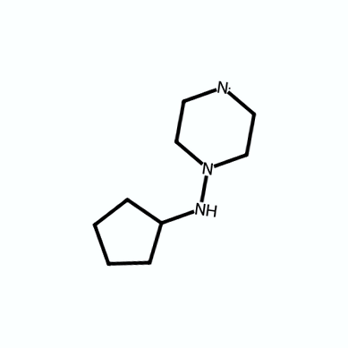 C1CCC(NN2CC[N]CC2)C1